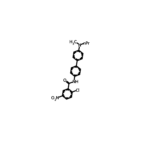 CCCN(C)c1ccc(-c2ccc(NC(=O)c3cc([N+](=O)[O-])ccc3Cl)cc2)cc1